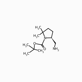 CC(C)(C)OC(=O)N1[C@H](CN)CCC1(C)C